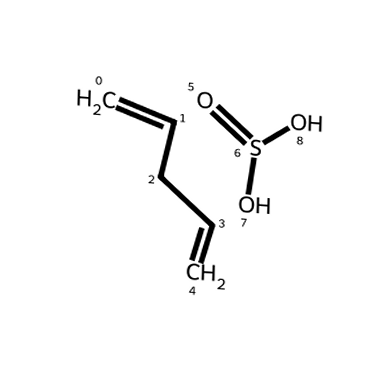 C=CCC=C.O=S(O)O